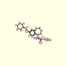 CC(C)(C)OC(=O)NC1CCCCc2cc(OCC3CCCCC3)ccc21